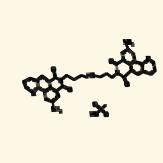 CS(=O)(=O)O.Nc1cc2c3c(cc4cccnc4c3c1)C(=O)N(CCCCNCCCN1C(=O)c3cc(N)cc4c3c(cc3cccnc34)C1=O)C2=O